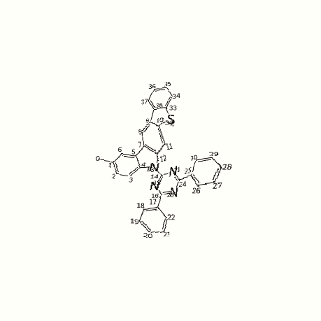 Cc1ccc2c(c1)c1cc3c(cc1n2-c1nc(-c2ccccc2)nc(-c2ccccc2)n1)sc1ccccc13